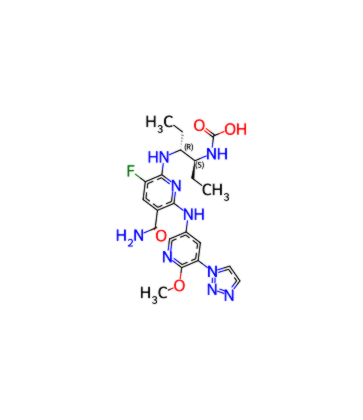 CC[C@H](NC(=O)O)[C@@H](CC)Nc1nc(Nc2cnc(OC)c(-n3ccnn3)c2)c(C(N)=O)cc1F